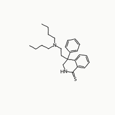 CCCCN(CCCC)CCC1(c2ccccc2)CNC(=S)c2ccccc21